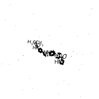 CN(C)CC(=O)Nc1ccc(-c2ccnc(Nc3ccc(N4CCN(C(=O)[C@@H]5CCCN5)CC4)cc3)n2)cc1